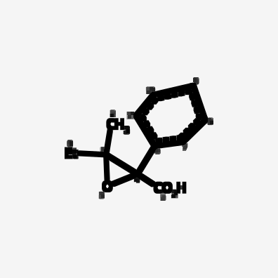 CCC1(C)OC1(C(=O)O)c1ccccc1